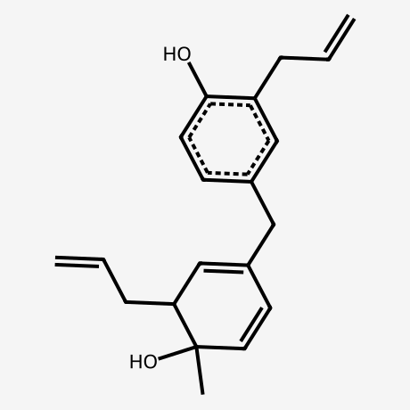 C=CCc1cc(CC2=CC(CC=C)C(C)(O)C=C2)ccc1O